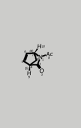 CC(=O)N1C(=O)[C@@H]2C=C[C@H]1C2